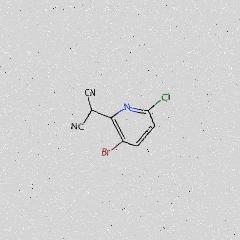 N#CC(C#N)c1nc(Cl)ccc1Br